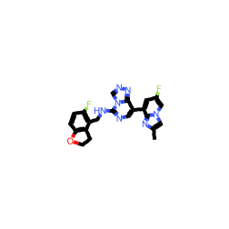 Cc1cn2cc(F)cc(-c3cnc(NCc4c(F)ccc5c4CCO5)n4cnnc34)c2n1